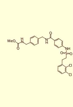 COC(=O)NCc1ccc(CNC(=O)c2ccc(NS(=O)(=O)CCc3cccc(Cl)c3Cl)cc2)cc1